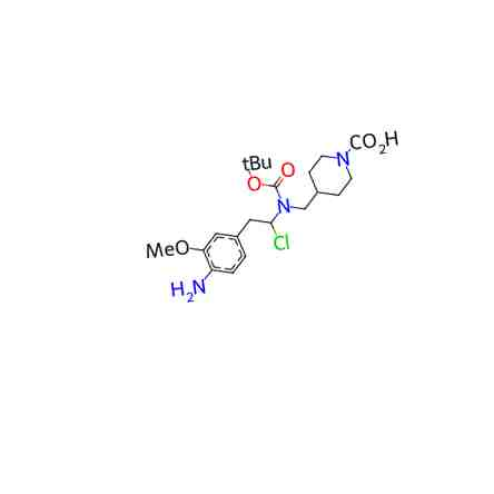 COc1cc(CC(Cl)N(CC2CCN(C(=O)O)CC2)C(=O)OC(C)(C)C)ccc1N